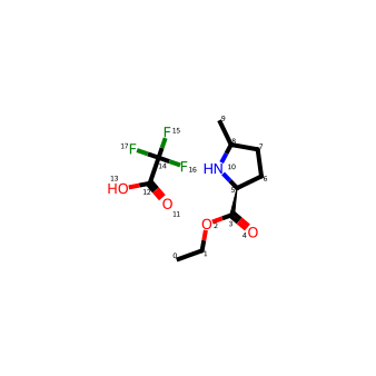 CCOC(=O)[C@@H]1CCC(C)N1.O=C(O)C(F)(F)F